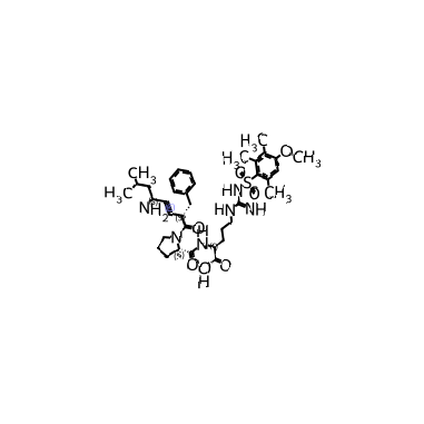 COc1cc(C)c(S(=O)(=O)NC(=N)NCCC[C@H](NC(=O)[C@@H]2CCCN2C(=O)[C@H](/C=C/[C@@H](N)CC(C)C)Cc2ccccc2)C(=O)O)c(C)c1C